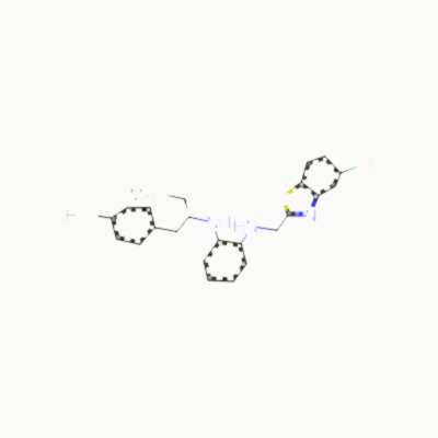 COC[C@H](Cc1ccc(C)cc1)Nc1ccccc1NCc1nc2cc(Cl)ccc2s1